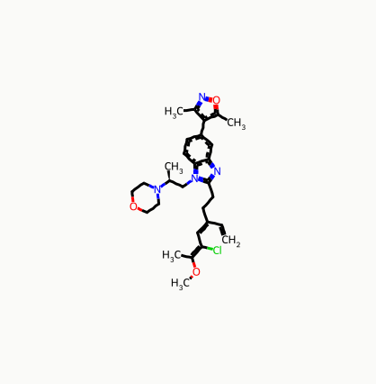 C=C/C(=C\C(Cl)=C(/C)OC)CCc1nc2cc(-c3c(C)noc3C)ccc2n1C[C@H](C)N1CCOCC1